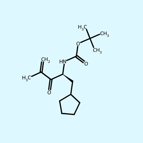 C=C(C)C(=O)[C@H](CC1CCCC1)NC(=O)OC(C)(C)C